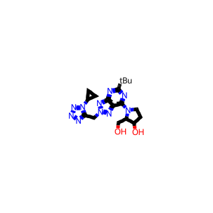 CC(C)(C)c1nc(N2CCC(O)C2CO)c2nn(Cc3nnnn3C3CC3)nc2n1